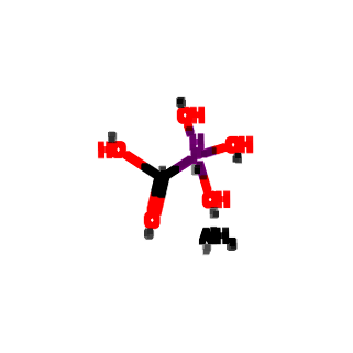 O=C(O)[PH](O)(O)O.[AlH3]